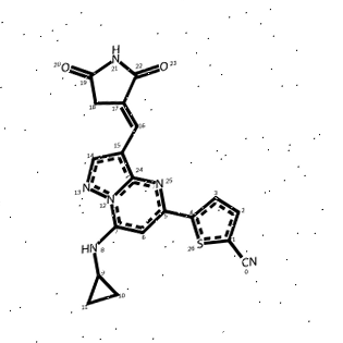 N#Cc1ccc(-c2cc(NC3CC3)n3ncc(C=C4CC(=O)NC4=O)c3n2)s1